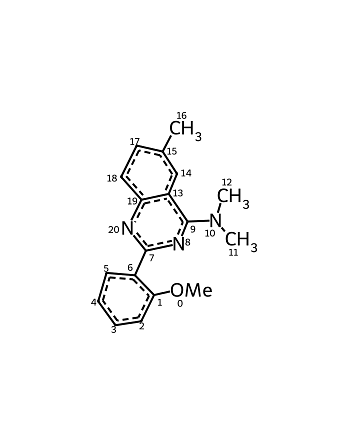 COc1ccccc1-c1nc(N(C)C)c2cc(C)ccc2n1